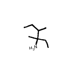 CCC(C)C(C)(N)CC